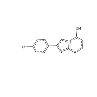 Oc1cccc2oc(-c3ccc(Cl)cc3)cc12